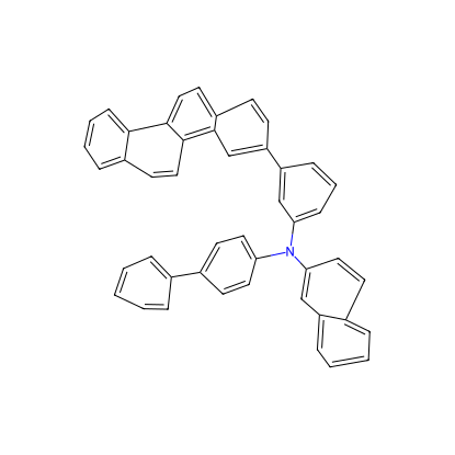 c1ccc(-c2ccc(N(c3cccc(-c4ccc5ccc6c7ccccc7ccc6c5c4)c3)c3ccc4ccccc4c3)cc2)cc1